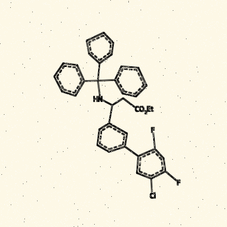 CCOC(=O)CC(NC(c1ccccc1)(c1ccccc1)c1ccccc1)c1cccc(-c2cc(Cl)c(F)cc2F)c1